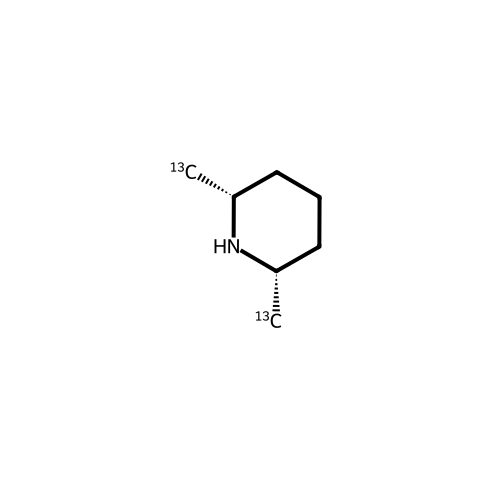 [13CH3][C@@H]1CCC[C@H]([13CH3])N1